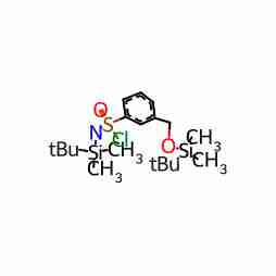 CC(C)(C)[Si](C)(C)N=S(=O)(Cl)c1cccc(CO[Si](C)(C)C(C)(C)C)c1